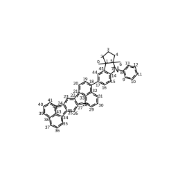 CC12CCCC1(C)N(c1ccccc1)c1ccc(-c3ccc4c5cc6c(cc5c5cccc3c54)c3cccc4cccc6c43)cc12